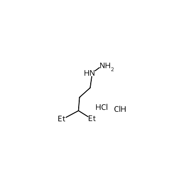 CCC(CC)CCNN.Cl.Cl